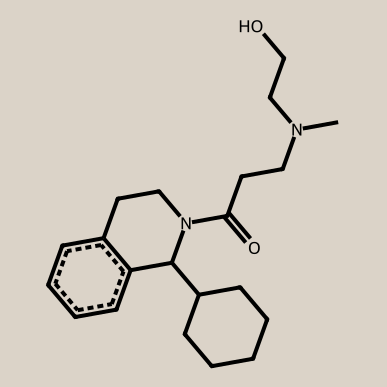 CN(CCO)CCC(=O)N1CCc2ccccc2C1C1CCCCC1